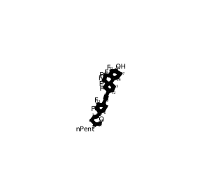 CCCCCC1CC=C(c2ccc(C#Cc3ccc4c(c3F)C(F)(F)C(F)(F)c3c-4ccc(O)c3F)c(F)c2F)OC1